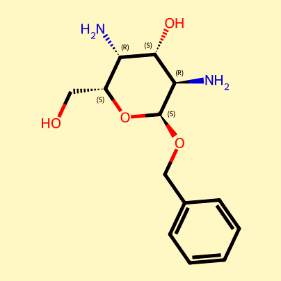 N[C@@H]1[C@H](O)[C@@H](N)[C@@H](OCc2ccccc2)O[C@@H]1CO